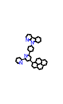 c1ccc(-c2cc(-c3ccc4ccc5cccc6ccc3c4c56)cc(-c3ccc(-n4c5ccccc5c5cccnc54)cc3)n2)nc1